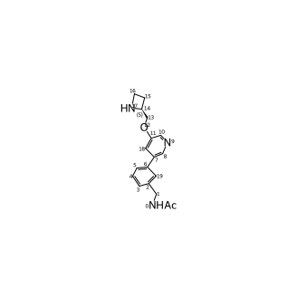 CC(=O)NCc1cccc(-c2cncc(OC[C@@H]3CCN3)c2)c1